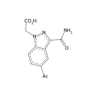 CC(=O)c1ccc2c(c1)c(C(N)=O)nn2CC(=O)O